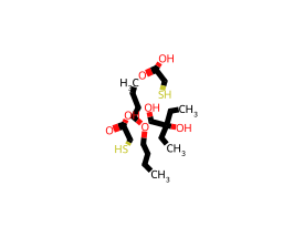 CCC(O)(CC)CO.CCCCOCCCC.O=C(O)CS.O=C(O)CS